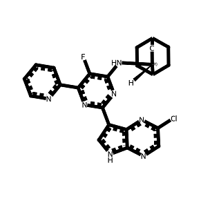 Fc1c(N[C@@H]2CC3CCC2CC3)nc(-c2c[nH]c3ncc(Cl)nc23)nc1-c1ccccn1